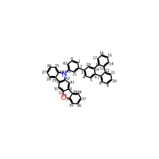 c1cc(-c2ccc3c4ccccc4c4ccccc4c3c2)cc(-n2c3ccccc3c3cc4oc5ccccc5c4cc32)c1